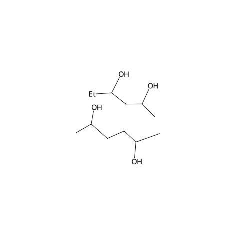 CC(O)CCC(C)O.CCC(O)CC(C)O